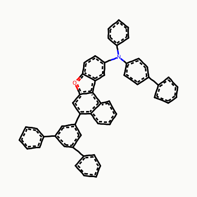 c1ccc(-c2ccc(N(c3ccccc3)c3ccc4oc5cc(-c6cc(-c7ccccc7)cc(-c7ccccc7)c6)c6ccccc6c5c4c3)cc2)cc1